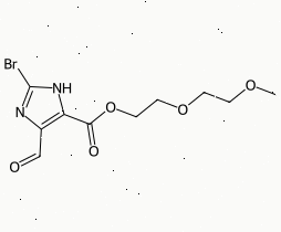 COCCOCCOC(=O)c1[nH]c(Br)nc1C=O